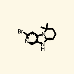 CC1(C)CCC=C2Nc3cnc(Br)cc3N21